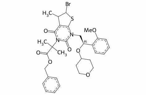 COc1ccccc1[C@H](Cn1c2c(c(=O)n(C(C)(C)C(=O)OCc3ccccc3)c1=O)C(C)C(Br)S2)OC1CCOCC1